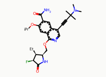 CC[C@@H]1[C@H](F)C(=O)N[C@@H]1COc1ncc(C#CC(C)(C)N(C)C)c2cc(C(N)=O)c(OC(C)C)cc12